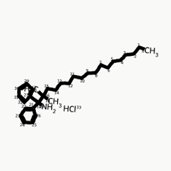 CCCCCCCCCCCCCCCCC(C)(C)C(N)(c1ccccc1)c1ccccc1.Cl